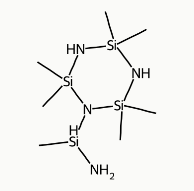 C[SiH](N)N1[Si](C)(C)N[Si](C)(C)N[Si]1(C)C